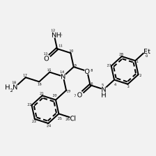 CCc1ccc(NC(=O)OC(CC([NH])=O)N(CCCN)Cc2ccccc2Cl)cc1